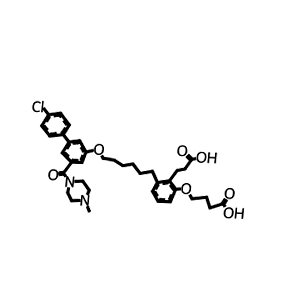 CN1CCN(C(=O)c2cc(OCCCCCCc3cccc(OCCCC(=O)O)c3CCC(=O)O)cc(-c3ccc(Cl)cc3)c2)CC1